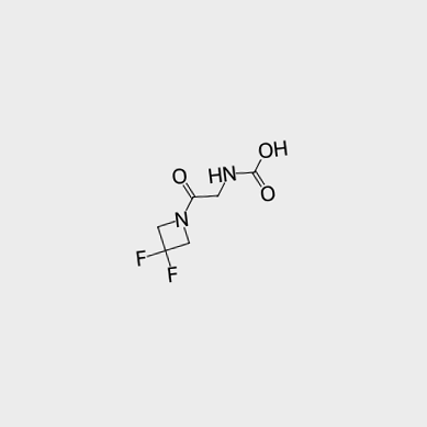 O=C(O)NCC(=O)N1CC(F)(F)C1